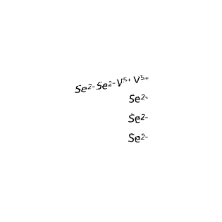 [Se-2].[Se-2].[Se-2].[Se-2].[Se-2].[V+5].[V+5]